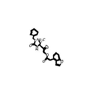 O=C(O)CC(NC(=O)OCc1ccccc1)C(=O)COC(=O)Cc1cccc2occc12